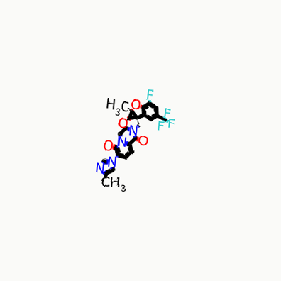 Cc1cn(-c2ccc3n(c2=O)CCN(C[C@]24C(=O)[C@@]2(C)Oc2c(F)cc(C(F)(F)F)cc24)C3=O)cn1